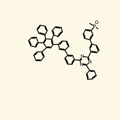 CP(C)(=O)c1cccc(-c2cccc(-c3nc(-c4ccccc4)nc(-c4cccc(-c5cccc(-c6cc(-c7ccccc7)c(-c7ccccc7)c(-c7ccccc7)c6-c6ccccc6)c5)c4)n3)c2)c1